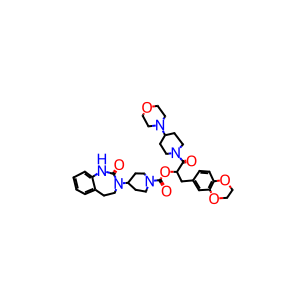 O=C(OC(Cc1ccc2c(c1)OCCO2)C(=O)N1CCC(N2CCOCC2)CC1)N1CCC(N2CCc3ccccc3NC2=O)CC1